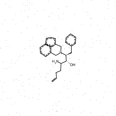 C=CCCC(N)[C@@H](O)[C@H](Cc1ccccc1)N(Cc1ccccc1)Cc1ccccc1